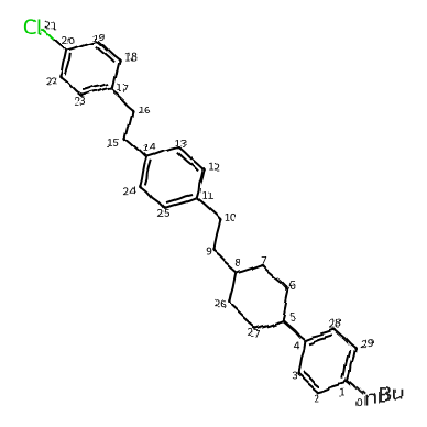 CCCCc1ccc(C2CCC(CCc3ccc(CCc4ccc(Cl)cc4)cc3)CC2)cc1